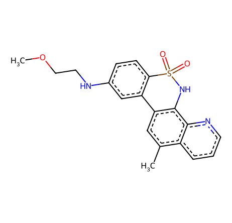 COCCNc1ccc2c(c1)-c1cc(C)c3cccnc3c1NS2(=O)=O